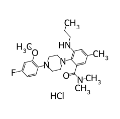 CCCNc1cc(C)cc(C(=O)N(C)C)c1N1CCN(c2ccc(F)cc2OC)CC1.Cl